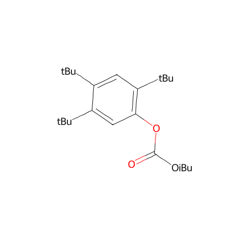 CC(C)COC(=O)Oc1cc(C(C)(C)C)c(C(C)(C)C)cc1C(C)(C)C